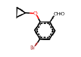 O=Cc1ccc(Br)cc1OC1CC1